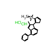 CC1=Cc2c(-c3ccccc3)cccc2C1C1=[C]([Zr]([CH3])([CH3])=[SiH2])C=CC1.Cl.Cl